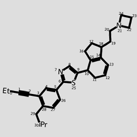 CCC#Cc1cc(-c2ncc(C3CC=CC4=C3CCC4CCN3CCC3)s2)ccc1CC(C)C